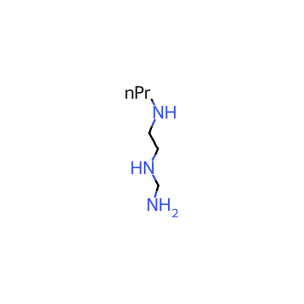 [CH2]CCNCCNCN